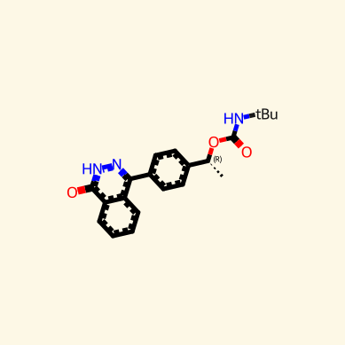 C[C@@H](OC(=O)NC(C)(C)C)c1ccc(-c2n[nH]c(=O)c3ccccc23)cc1